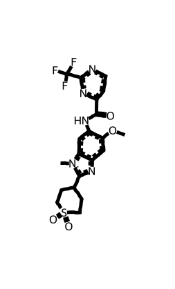 COc1cc2nc(C3CCS(=O)(=O)CC3)n(C)c2cc1NC(=O)c1ccnc(C(F)(F)F)n1